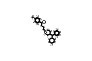 O=C(CCCN1CCC(C(c2ccccc2)C2CCCCC2)CC1)c1ccc(F)cc1